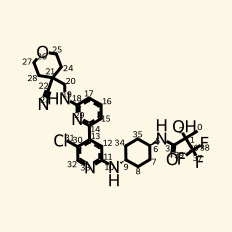 CC(O)(C(=O)N[C@H]1CC[C@H](Nc2cc(-c3cccc(NCC4(C#N)CCOCC4)n3)c(Cl)cn2)CC1)C(F)(F)F